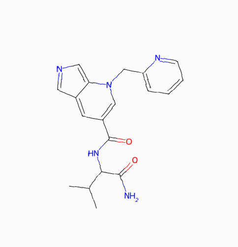 CC(C)C(NC(=O)c1cc2cncc-2n(Cc2ccccn2)c1)C(N)=O